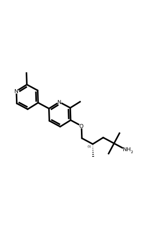 Cc1cc(-c2ccc(OC[C@@H](C)CC(C)(C)N)c(C)n2)ccn1